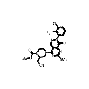 CSc1nc(N2CCN(C(=O)OC(C)(C)C)C(CC#N)C2)c2cnn(-c3cccc(Cl)c3C(F)(F)F)c(=O)c2n1